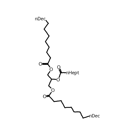 CCCCCCCCCCCCCCCCCC(=O)OCC(COC(=O)CCCCCCCCCCCCCCCCC)OC(=O)CCCCCCC